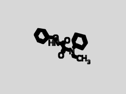 CCN(C(=O)C(=O)NOc1ccccc1)c1ccccc1